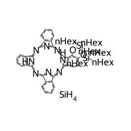 CCCCCC[Si](CCCCCC)(CCCCCC)Oc1ccc2c3nc4nc(nc5[nH]c(nc6nc(nc([nH]3)c2c1O[Si](CCCCCC)(CCCCCC)CCCCCC)-c1ccccc1-6)c1ccccc51)-c1ccccc1-4.[SiH4]